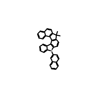 CC1(C)c2ccc3ccccc3c2-c2c1ccc1c2c2ccccc2n1-c1ccc2ccccc2c1